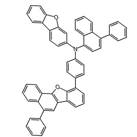 c1ccc(-c2ccc(N(c3ccc(-c4cccc5c4oc4c6ccccc6c(-c6ccccc6)cc54)cc3)c3ccc4c(c3)oc3ccccc34)c3ccccc23)cc1